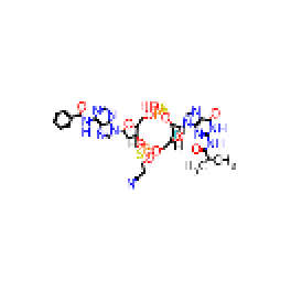 CC(C)C(=O)Nc1nc2c(ncn2[C@@H]2O[C@@H]3COP(=S)(OCCC#N)O[C@H]4C[C@H](n5cnc6c(NC(=O)c7ccccc7)ncnc65)OC4COP(O)(=S)OC2[C@@H]3F)c(=O)[nH]1